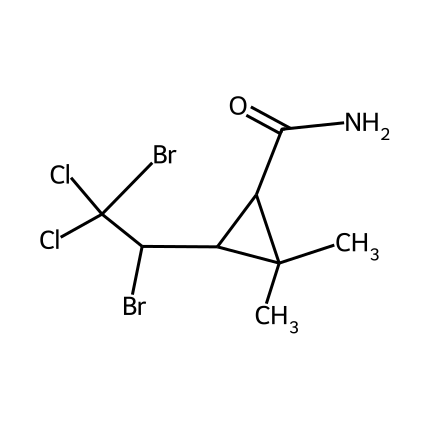 CC1(C)C(C(N)=O)C1C(Br)C(Cl)(Cl)Br